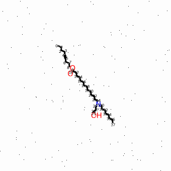 CCCCC#CCCCOC(=O)CCCCCCCCCCCCCN(CCCO)CCCCCCCC